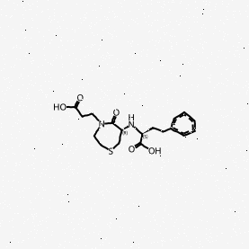 O=C(O)CCN1CCSC[C@H](N[C@@H](CCc2ccccc2)C(=O)O)C1=O